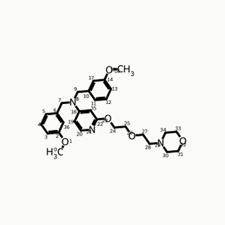 COc1cccc(CN(Cc2cccc(OC)c2)c2ccnc(OCCOCCN3CCOCC3)c2)c1